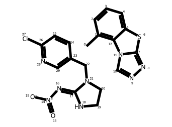 Cc1cccc2sc3nncn3c12.O=[N+]([O-])/N=C1\NCCN1Cc1ccc(Cl)nc1